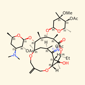 C=C1CO[C@@H]2[C@@H](C)/C(=N/OC(C)=O)[C@H](C)C[C@@](C)(OC1)[C@H](O[C@@H]1O[C@H](C)C[C@H](N(C)C)[C@H]1OC(C)=O)[C@@H](C)[C@H](O[C@H]1C[C@@](C)(OC)[C@@H](OC(C)=O)[C@H](C)O1)[C@@H](C)C(=O)O[C@H](CC)[C@@]2(C)O